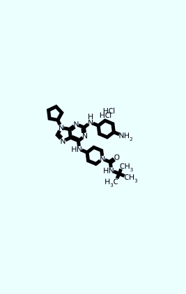 CC(C)(C)NC(=O)N1CCC(Nc2nc(NC3CCC(N)CC3)nc3c2ncn3C2CCCC2)CC1.Cl.Cl